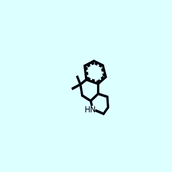 CC1(C)CC2NCCCC2c2ccccc21